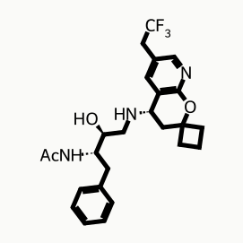 CC(=O)N[C@@H](Cc1ccccc1)[C@@H](O)CN[C@H]1CC2(CCC2)Oc2ncc(CC(F)(F)F)cc21